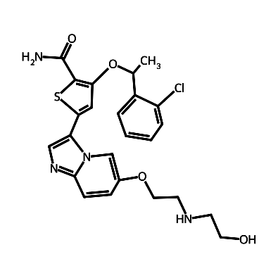 CC(Oc1cc(-c2cnc3ccc(OCCNCCO)cn23)sc1C(N)=O)c1ccccc1Cl